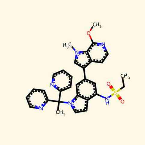 CCS(=O)(=O)Nc1cc(-c2cn(C)c3c(OC)nccc23)cc2c1ccn2C(C)(c1ccccn1)c1ccccn1